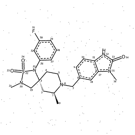 C[C@H]1C[C@]2(CCN1Cc1ccc3[nH]c(=O)n(C)c3c1)CN(C)S(=O)(=O)N2c1cccc(F)c1